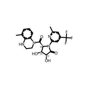 Cc1cc(C(F)(F)F)cc(N2C(=O)[C@@H](O)[C@@H](O)[C@H]2C(=O)N2CCNc3c(C)cccc32)n1